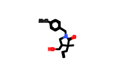 C=CCC1(C)C(=O)N(Cc2ccc(OC)cc2)CC1CO